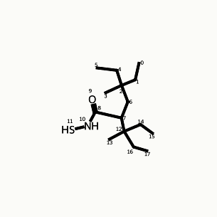 CCC(C)(CC)CC(C(=O)NS)C(C)(CC)CC